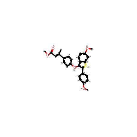 COC(=O)C=C(C)c1ccc(Oc2c(-c3ccc(OC)cc3)sc3cc(OC)ccc23)cc1